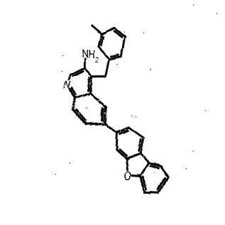 Cc1cccc(Cc2c(N)cnc3ccc(-c4ccc5c(c4)oc4ccccc45)cc23)c1